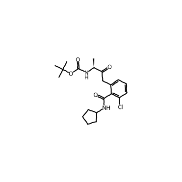 C[C@H](NC(=O)OC(C)(C)C)C(=O)Cc1cccc(Cl)c1C(=O)NC1CCCC1